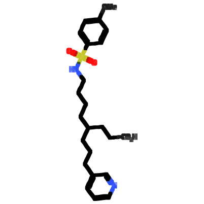 COc1ccc(S(=O)(=O)NCCCCC(CCCc2cccnc2)CCC(=O)O)cc1